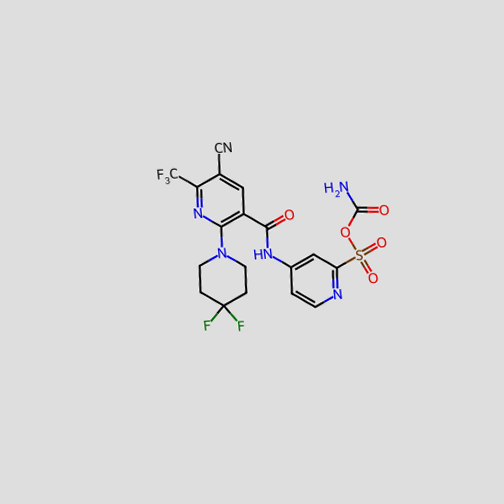 N#Cc1cc(C(=O)Nc2ccnc(S(=O)(=O)OC(N)=O)c2)c(N2CCC(F)(F)CC2)nc1C(F)(F)F